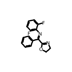 Fc1cccc(F)c1/N=C(/C1=NCCO1)c1ccccc1